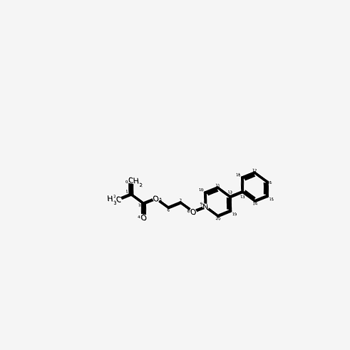 C=C(C)C(=O)OCCON1C=CC(c2ccccc2)=CC1